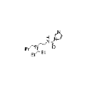 CCC(CC)N(CCNC(=O)n1ccnc1)CC(C)C